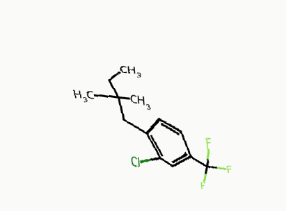 CCC(C)(C)Cc1ccc(C(F)(F)F)cc1Cl